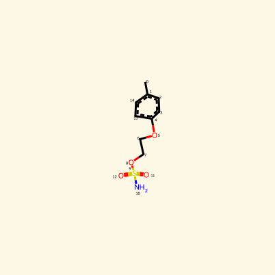 Cc1ccc(OCCOS(N)(=O)=O)cc1